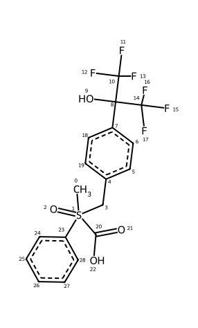 CS(=O)(Cc1ccc(C(O)(C(F)(F)F)C(F)(F)F)cc1)(C(=O)O)c1ccccc1